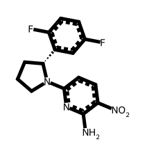 Nc1nc(N2CCC[C@@H]2c2cc(F)ccc2F)ccc1[N+](=O)[O-]